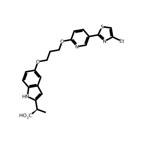 CCc1csc(-c2ccc(OCCCOc3ccc4[nH]c([C@@H](C)C(=O)O)cc4c3)nc2)n1